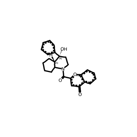 O=C(c1cc(=O)c2ccccc2o1)N1CC[C@](O)(c2ccccc2)[C@H]2CCCCC21